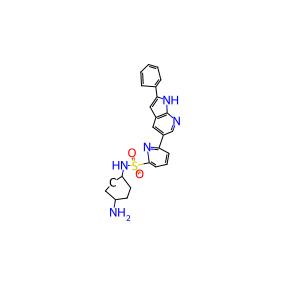 NC1CCC(NS(=O)(=O)c2cccc(-c3cnc4[nH]c(-c5ccccc5)cc4c3)n2)CC1